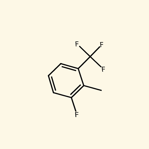 Cc1c(F)cccc1C(F)(F)F